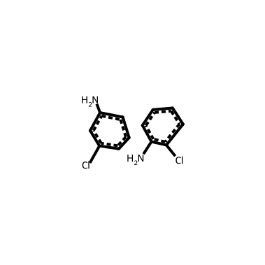 Nc1cccc(Cl)c1.Nc1ccccc1Cl